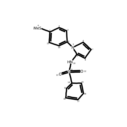 CSc1ccc(-n2cccc2NS(=O)(=O)c2ccccc2)cc1